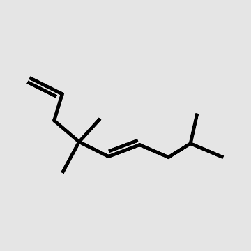 C=CCC(C)(C)C=CCC(C)C